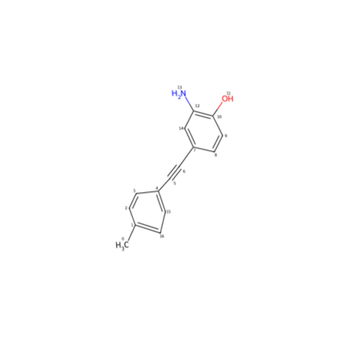 Cc1ccc(C#Cc2ccc(O)c(N)c2)cc1